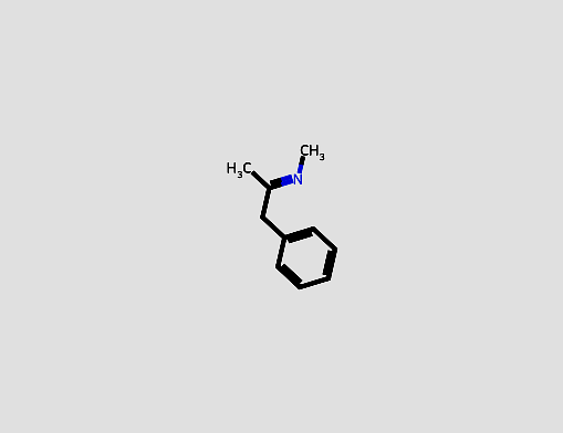 CN=C(C)Cc1ccccc1